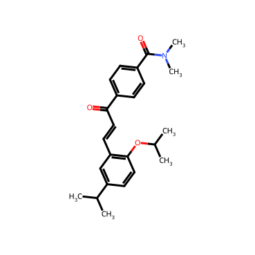 CC(C)Oc1ccc(C(C)C)cc1C=CC(=O)c1ccc(C(=O)N(C)C)cc1